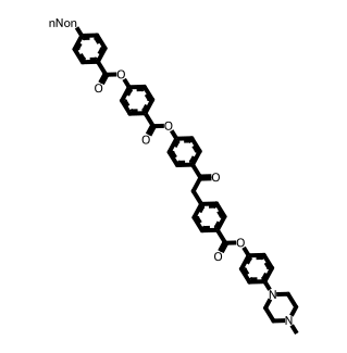 CCCCCCCCCc1ccc(C(=O)Oc2ccc(C(=O)Oc3ccc(C(=O)Cc4ccc(C(=O)Oc5ccc(N6CCN(C)CC6)cc5)cc4)cc3)cc2)cc1